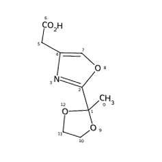 CC1(c2nc(CC(=O)O)co2)OCCO1